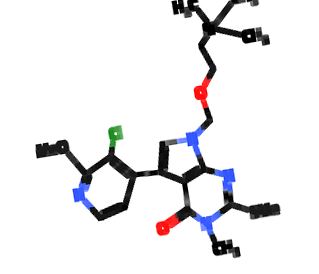 COc1nccc(-c2cn(COCC[Si](C)(C)C)c3nc(SC)n(C)c(=O)c23)c1Cl